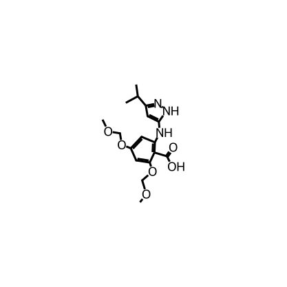 COCOc1cc(Nc2cc(C(C)C)n[nH]2)c(C(=O)O)c(OCOC)c1